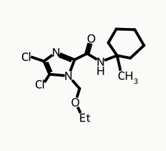 CCOCn1c(C(=O)NC2(C)CCCCC2)nc(Cl)c1Cl